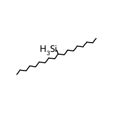 CCCCCCCCCC([SiH3])CCCCCCCC